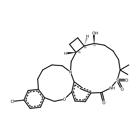 CC1(C)CCC[C@H](O)[C@@H]2CC[C@H]2CN2CCCCc3cc(Cl)ccc3COc3ccc(cc32)C(=O)NS1(=O)=O